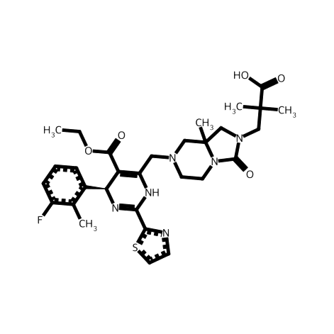 CCOC(=O)C1=C(CN2CCN3C(=O)N(CC(C)(C)C(=O)O)CC3(C)C2)NC(c2nccs2)=N[C@H]1c1cccc(F)c1C